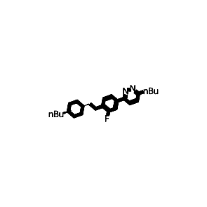 CCCCc1ccc(-c2ccc(CC[C@H]3CC[C@H](CCCC)CC3)c(F)c2)nn1